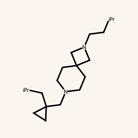 CC(C)CCN1CC2(CCN(CC3(CC(C)C)CC3)CC2)C1